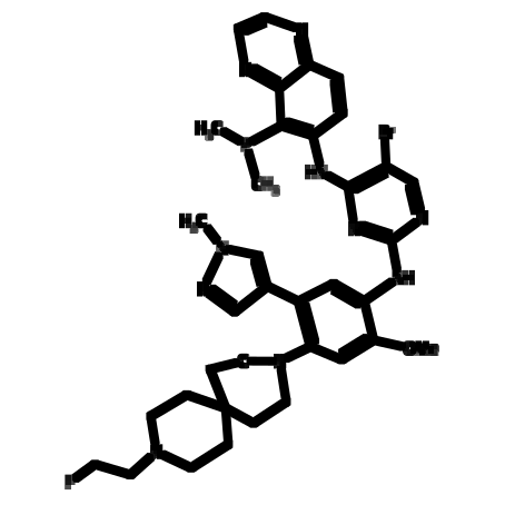 COc1cc(N2CCC3(CCN(CCF)CC3)CC2)c(-c2cnn(C)c2)cc1Nc1ncc(Br)c(Nc2ccc3nccnc3c2P(C)C)n1